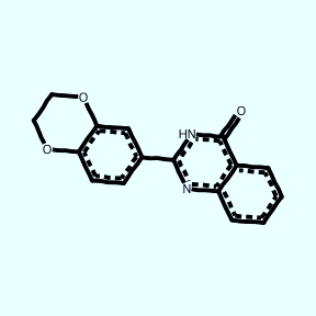 O=c1[nH]c(-c2ccc3c(c2)OCCO3)nc2ccccc12